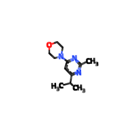 Cc1nc(C(C)C)cc(N2CCOCC2)n1